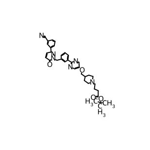 CC(C)(C)OC(=O)CCCN1CCC(COc2cnc(-c3cccc(Cn4nc(-c5cccc(C#N)c5)ccc4=O)c3)nc2)CC1